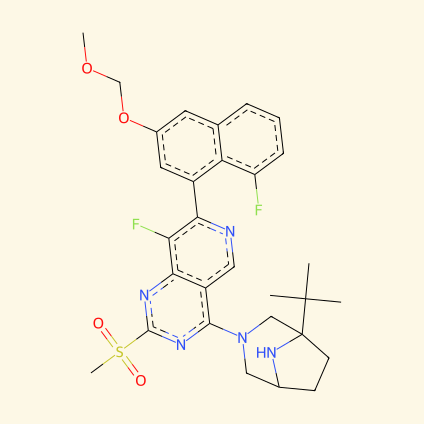 COCOc1cc(-c2ncc3c(N4CC5CCC(C(C)(C)C)(C4)N5)nc(S(C)(=O)=O)nc3c2F)c2c(F)cccc2c1